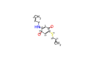 C=CCNC1=CC(=O)C(SCC=C)=CC1=O